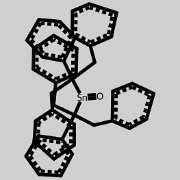 [O]=[Sn]([C](Cc1ccccc1)(Cc1ccccc1)c1ccccc1)[C](Cc1ccccc1)(Cc1ccccc1)c1ccccc1